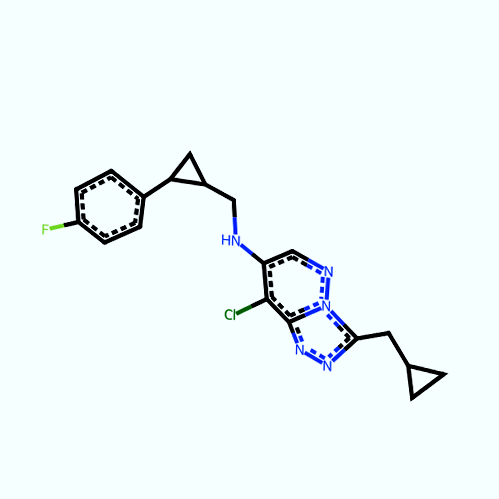 Fc1ccc(C2CC2CNc2cnn3c(CC4CC4)nnc3c2Cl)cc1